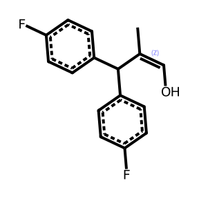 C/C(=C/O)C(c1ccc(F)cc1)c1ccc(F)cc1